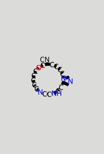 N#Cc1ccccn2cncc2cc[nH]ccncccccoc1